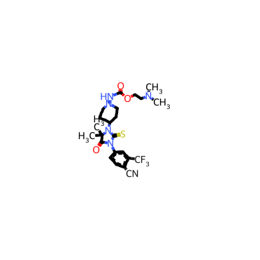 CN(C)CCOC(=O)NN1CCC(N2C(=S)N(c3ccc(C#N)c(C(F)(F)F)c3)C(=O)C2(C)C)CC1